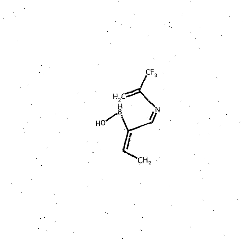 C=C(/N=C\C(BO)=C/C)C(F)(F)F